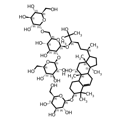 C[C@H](CC[C@@H](O[C@@H]1O[C@H](CO[C@H]2O[C@H](CO)[C@@H](O)[C@H](O)[C@H]2O)[C@@H](O)[C@H](O)[C@H]1O[C@@H]1O[C@H](CO)[C@@H](O)[C@H](O)[C@H]1O)C(C)(C)O)C1CC[C@@]2(C)C3CC=C4C(CC[C@H](O[C@@H]5O[C@H](CO)[C@@H](O)[C@H](O)[C@H]5O)C4(C)C)[C@]3(C)[C@H](O)C[C@]12C